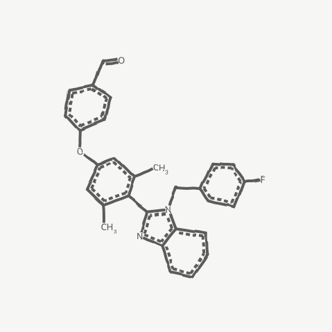 Cc1cc(Oc2ccc(C=O)cc2)cc(C)c1-c1nc2ccccc2n1Cc1ccc(F)cc1